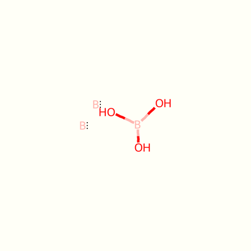 OB(O)O.[B].[B]